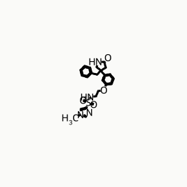 Cn1cnc(S(=O)(=O)NCCOc2cccc(C3(Cc4ccccc4)CNC(=O)C3)c2)c1